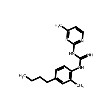 CCCCc1ccc(NC(=N)Nc2nccc(C)n2)c(C)c1